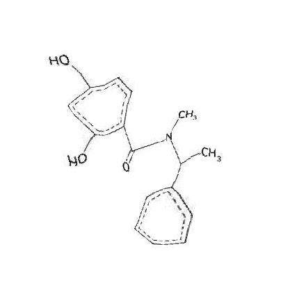 CC(c1ccccc1)N(C)C(=O)c1ccc(O)cc1O